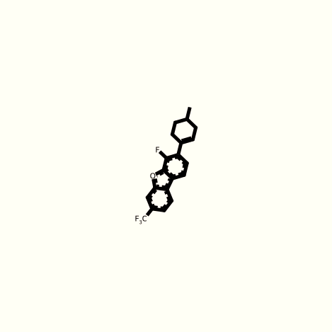 CC1CC=C(c2ccc3c(oc4cc(C(F)(F)F)ccc43)c2F)CC1